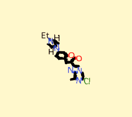 CCN1C[C@@H]2C[C@H]1CN2c1ccc2cc(-c3cn4cc(Cl)nc(C)c4n3)c(=O)oc2c1